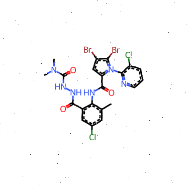 Cc1cc(Cl)cc(C(=O)NNC(=O)N(C)C)c1NC(=O)c1cc(Br)c(Br)n1-c1ncccc1Cl